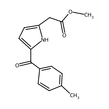 COC(=O)Cc1ccc(C(=O)c2ccc(C)cc2)[nH]1